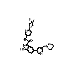 O=C(Nc1ccc(N2CC(F)(F)C2)nc1)c1n[nH]c2ccc(-c3cncc(CN4CCCCC4)c3)cc12